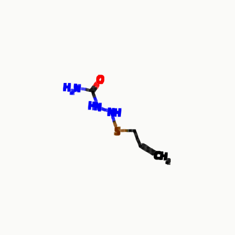 C=CCSNNC(N)=O